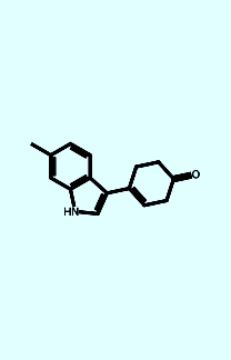 Cc1ccc2c(C3=CCC(=O)CC3)c[nH]c2c1